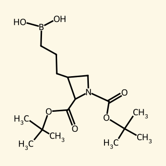 CC(C)(C)OC(=O)C1C(CCCB(O)O)CN1C(=O)OC(C)(C)C